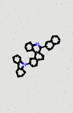 c1ccc2cc(-c3nc4ccccc4c4c3ccc3ccc(-n5c6ccccc6c6ccccc65)cc34)ccc2c1